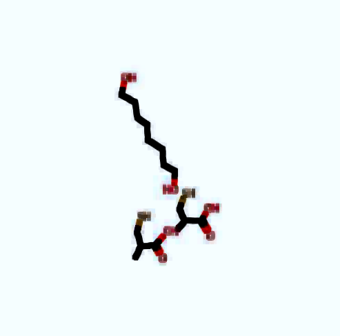 CC(CS)C(=O)O.CC(CS)C(=O)O.OCCCCCCCCO